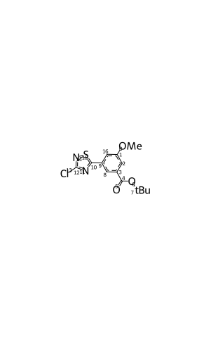 COc1cc(C(=O)OC(C)(C)C)cc(-c2nc(Cl)ns2)c1